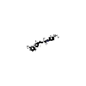 Nc1ccc(/C=C/C(=O)NCCC2[C@H]3CN(c4nc(Cl)ncc4F)C[C@@H]23)cn1